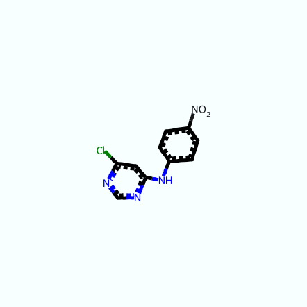 O=[N+]([O-])c1ccc(Nc2cc(Cl)ncn2)cc1